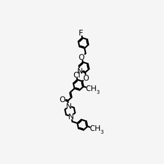 Cc1ccc(CN2CCN(C(=O)C=Cc3cc(C)c(Oc4ccc(OCc5ccc(F)cc5)cn4)c(Cl)c3)CC2)cc1